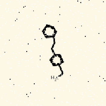 [CH2]Cc1ccc(CCc2ccccc2)cc1